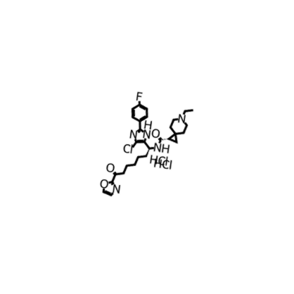 CCN1CCC2(CC1)C[C@@H]2C(=O)N[C@@H](CCCCCC(=O)c1ncco1)c1[nH]c(-c2ccc(F)cc2)nc1Cl.Cl.Cl